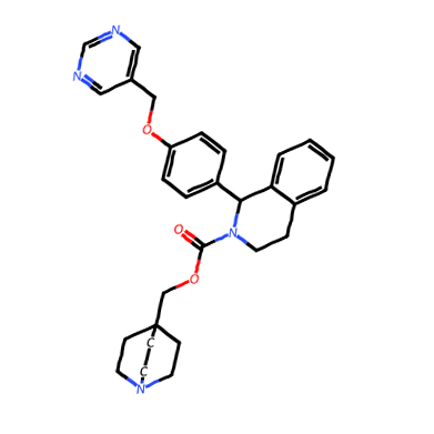 O=C(OCC12CCN(CC1)CC2)N1CCc2ccccc2C1c1ccc(OCc2cncnc2)cc1